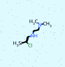 CN(C)CCNC=C([SiH3])Cl